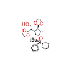 C[C@H]1[C@H](C2OCCO2)[C@H](C(CO)C2OCCO2)C[C@H]1O[Si](c1ccccc1)(c1ccccc1)C(C)(C)C